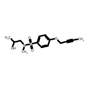 CC#CCOc1ccc(S(=O)(=O)N(C)CC(C)O)cc1